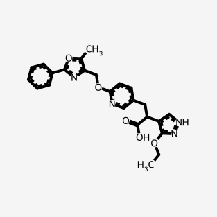 CCOc1n[nH]cc1C(Cc1ccc(OCc2nc(-c3ccccc3)oc2C)nc1)C(=O)O